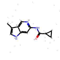 Cc1c[nH]c2cc(NC(=O)C3CC3)ncc12